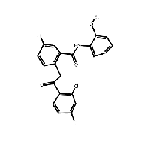 CCOc1ccccc1NC(=O)c1cc(Cl)ccc1CC(=O)c1ccc(Cl)cc1Cl